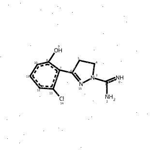 N=C(N)N1CCC(c2c(O)cccc2Cl)=N1